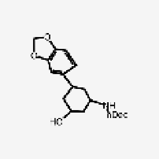 CCCCCCCCCCNC1CC(O)CC(c2ccc3c(c2)OCO3)C1